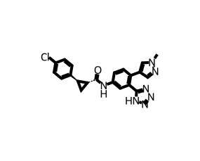 Cn1cc(-c2ccc(NC(=O)[C@@H]3C[C@H]3c3ccc(Cl)cc3)cc2-c2nnn[nH]2)cn1